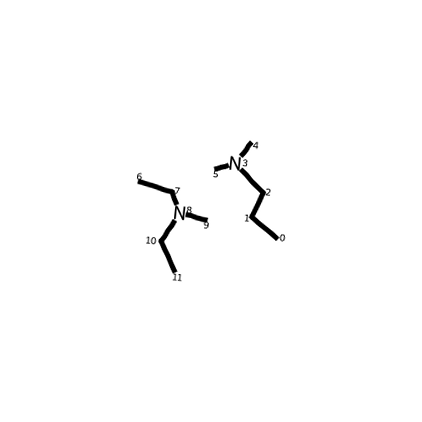 CCCN(C)C.CCN(C)CC